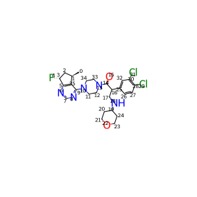 C[C@@H]1C[C@@H](F)c2ncnc(N3CCN(C(=O)C(CNC4CCOCC4)c4ccc(Cl)c(Cl)c4)CC3)c21